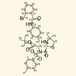 Cc1ccc(S(=O)(=O)N(C(=O)[C@H]2NC(C)(C)CS2)[C@@H](Cc2ccc(NC(=O)c3ccccc3Br)cc2)C(=O)OC(C)(C)C)cc1